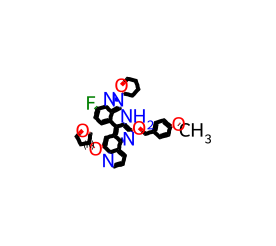 COc1ccc(COc2nc3c(cc(O[C@@H]4CCOC4)c4ncccc43)c(-c3ccc(F)c4nn(C5CCCCO5)cc34)c2N)cc1